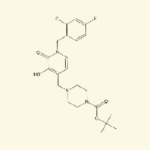 CC(C)(C)OC(=O)N1CCN(Cc2ccn(Cc3ccc(F)cc3F)c(=O)c2O)CC1